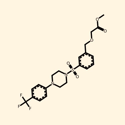 COC(=O)COCc1cccc(S(=O)(=O)N2CCN(c3ccc(C(F)(F)F)cc3)CC2)c1